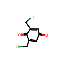 O=C1C=C(CCl)C(=O)C(CCl)=C1